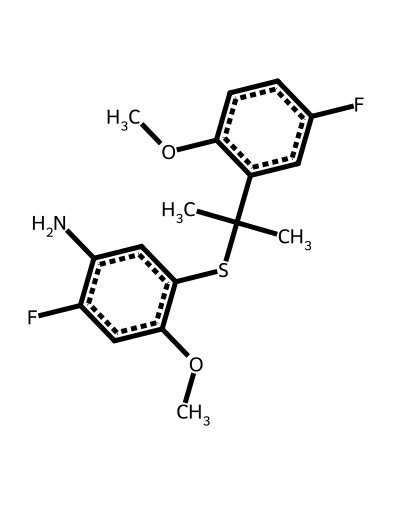 COc1cc(F)c(N)cc1SC(C)(C)c1cc(F)ccc1OC